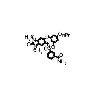 CCCOc1cccc(Oc2cc3c(cc2NS(=O)(=O)c2cccc(C(N)=O)c2)n(C)c(=O)n3C)c1